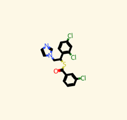 O=C(SC(Cn1ccnc1)c1ccc(Cl)cc1Cl)c1cccc(Cl)c1